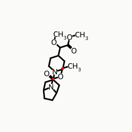 CCOC(=O)N1C2CCC1CC(N1CCC(C(OC)C(=O)OC)CC1)C2